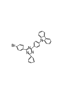 Brc1ccc(-c2nc(-c3ccccc3)nc(-c3ccc(-n4c5ccccc5c5ccccc54)cc3)n2)cc1